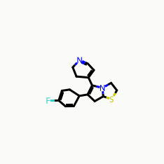 FC1=CCC(C2=C(C3=CC=NCC3)N3CCSC3C2)C=C1